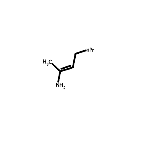 CCCC/C=C(\C)N